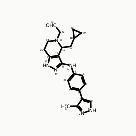 Cc1n[nH]cc1-c1ccc(Nc2n[nH]c3c2C(CC2CC2)N(CC=O)CC3)cc1